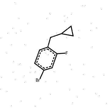 Fc1cc(Br)ccc1CC1CC1